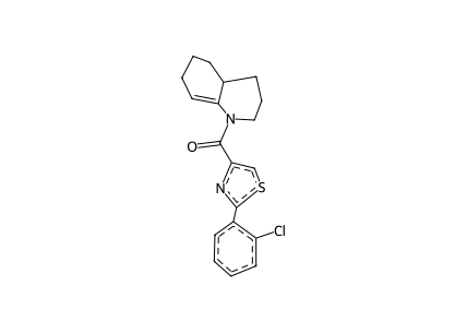 O=C(c1csc(-c2ccccc2Cl)n1)N1CCCC2CCCC=C21